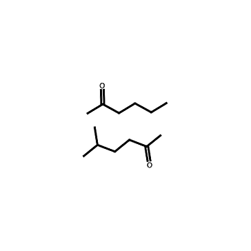 CC(=O)CCC(C)C.CCCCC(C)=O